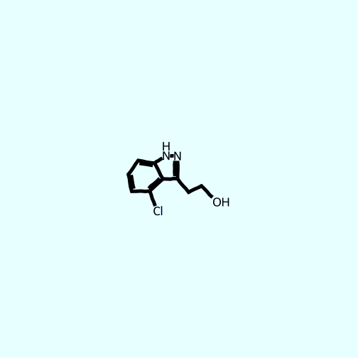 OCCc1n[nH]c2cccc(Cl)c12